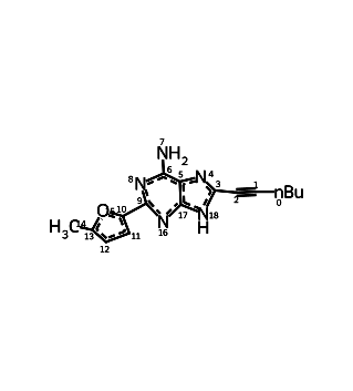 CCCCC#Cc1nc2c(N)nc(-c3ccc(C)o3)nc2[nH]1